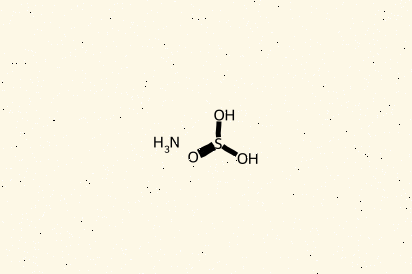 N.O=S(O)O